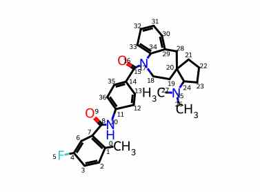 Cc1ccc(F)cc1C(=O)Nc1ccc(C(=O)N2CCC3(CCCC3N(C)C)Cc3ccccc32)cc1